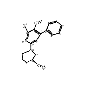 N#Cc1c(-c2ccccc2)cc(N2CCCC(O)C2)nc1Cl